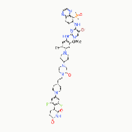 CCc1cc(Nc2ncc(Br)c(Nc3ccc4nccnc4c3P(C)(C)=O)n2)c(OC)cc1N1CCC(N2CCN(CCC3CCN(c4cc(F)c(C5CCC(=O)NC5=O)c(F)c4)CC3)C(=O)C2)CC1